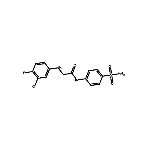 NS(=O)(=O)c1ccc(NC(=O)CNc2ccc(F)c(Cl)c2)cc1